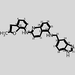 Cc1cc2cccc(Nc3ccc4c(NCc5ccc6[nH]cnc6c5)cccc4n3)c2o1